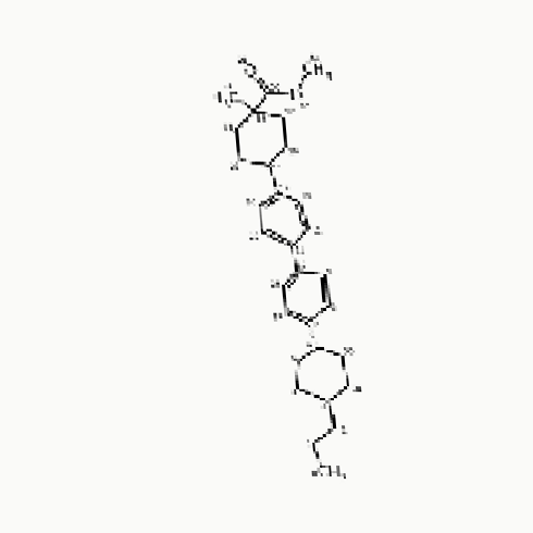 CCC[C@H]1CC[C@H](c2ccc(-c3ccc(C4CCC(C)(C(=O)OC)CC4)cc3)cc2)CC1